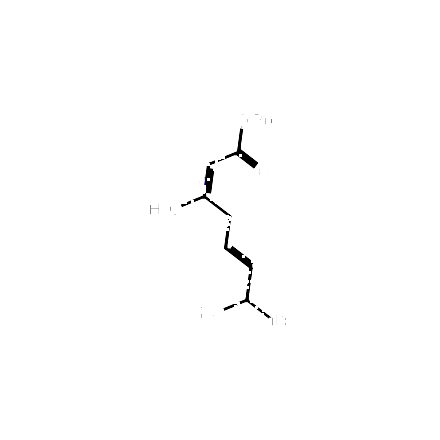 C/C(=C/C(=O)OCC(C)C)C/C=C/C(C)C(C)C